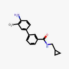 Nc1ccc(-c2cccc(C(=O)NCC3CC3)c2)cc1[N+](=O)[O-]